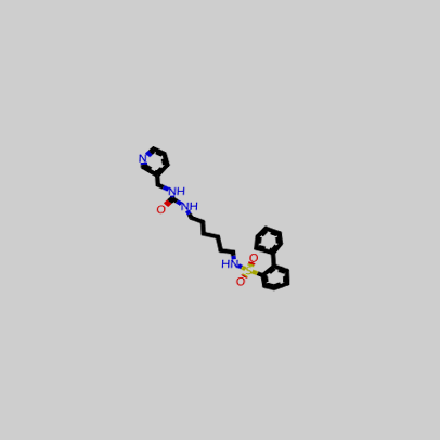 O=C(NCCCCCCNS(=O)(=O)c1ccccc1-c1ccccc1)NCc1cccnc1